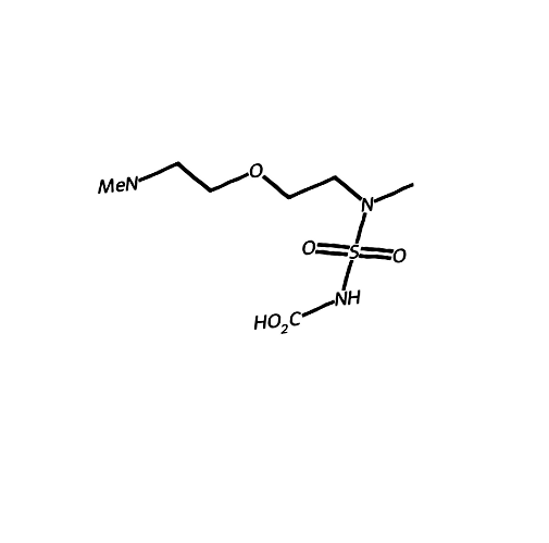 CNCCOCCN(C)S(=O)(=O)NC(=O)O